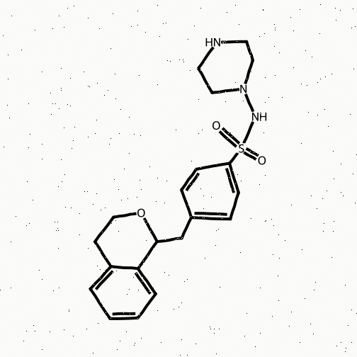 O=S(=O)(NN1CCNCC1)c1ccc(CC2OCCc3ccccc32)cc1